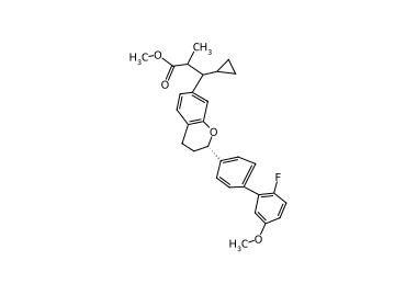 COC(=O)C(C)C(c1ccc2c(c1)O[C@H](c1ccc(-c3cc(OC)ccc3F)cc1)CC2)C1CC1